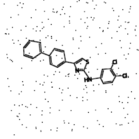 Clc1ccc(Nc2nc(-c3ccc(-c4ccccc4)cc3)cs2)cc1Cl